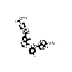 COC(=O)N1CCS(=O)(=NC(=O)c2cn3ncnc(Nc4ccc(F)cc4O[C@@H]4CO[C@H]5[C@@H]4OC[C@H]5OC)c3c2C)CC1